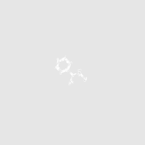 CCN[C@H](C(C)=O)c1ccccc1